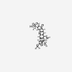 CCC1(O)C(=O)OCc2c1cc1n(c2=O)Cc2cc3c(CN(C)C)c(OP(=O)(COC)N[C@@H](C)C(=O)OC(C)C)ccc3nc2-1